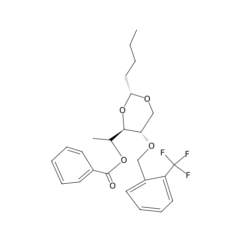 CCCC[C@@H]1OC[C@H](OCc2ccccc2C(F)(F)F)[C@@H](C(C)OC(=O)c2ccccc2)O1